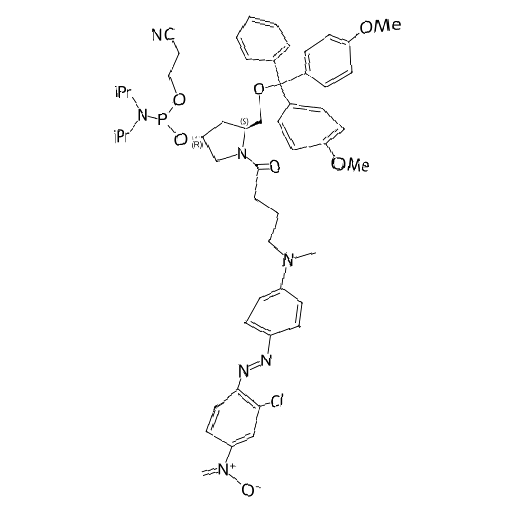 C=[N+]([O-])c1ccc(N=Nc2ccc(N(C)CCCC(=O)N3C[C@H](OP(OCCC#N)N(C(C)C)C(C)C)C[C@H]3COC(c3ccccc3)(c3ccc(OC)cc3)c3ccc(OC)cc3)cc2)c(Cl)c1